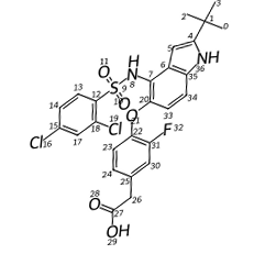 CC(C)(C)c1cc2c(NS(=O)(=O)c3ccc(Cl)cc3Cl)c(Oc3ccc(CC(=O)O)cc3F)ccc2[nH]1